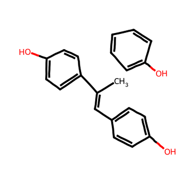 C/C(=C\c1ccc(O)cc1)c1ccc(O)cc1.Oc1ccccc1